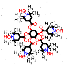 CC1(C)CC(C(=O)OC2CC(OC(=O)C3CC(C)(C)N(O)C(C)(C)C3)C(OC(=O)C3CC(C)(C)N(O)C(C)(C)C3)C(OC(=O)C3CC(C)(C)N(O)C(C)(C)C3)C2OC(=O)C2CC(C)(C)N(O)C(C)(C)C2)CC(C)(C)N1O